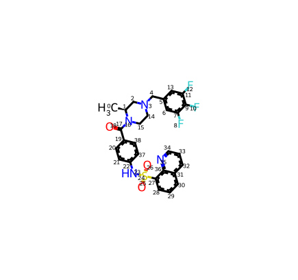 C[C@H]1CN(Cc2cc(F)c(F)c(F)c2)CCN1C(=O)c1ccc(NS(=O)(=O)c2cccc3cccnc23)cc1